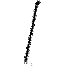 [N-]=[N+]=NOCCOCCOCCOCCOCCOCCOCCOCCOCCOCCOCCOCCN